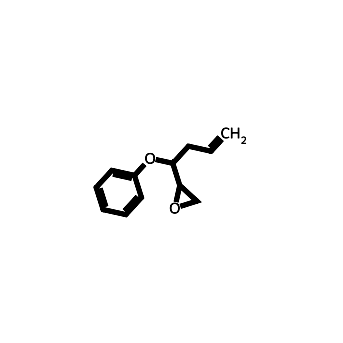 C=CC[C](Oc1ccccc1)C1CO1